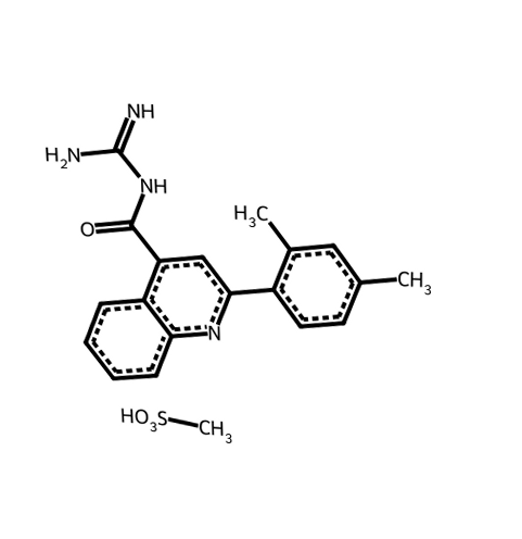 CS(=O)(=O)O.Cc1ccc(-c2cc(C(=O)NC(=N)N)c3ccccc3n2)c(C)c1